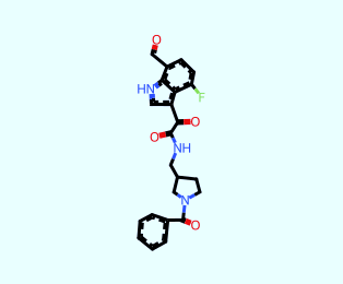 O=Cc1ccc(F)c2c(C(=O)C(=O)NCC3CCN(C(=O)c4ccccc4)C3)c[nH]c12